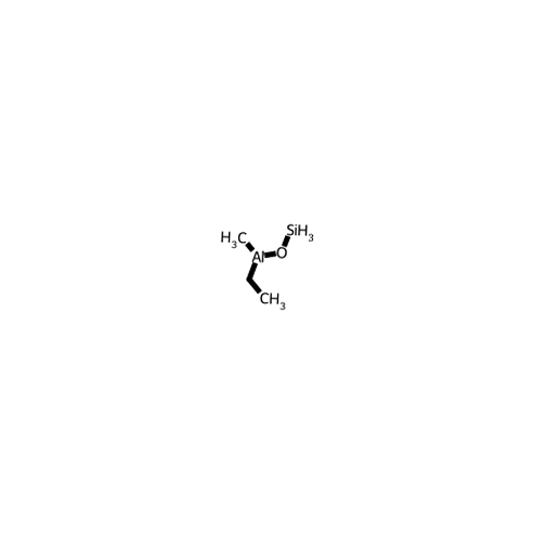 C[CH2][Al]([CH3])[O][SiH3]